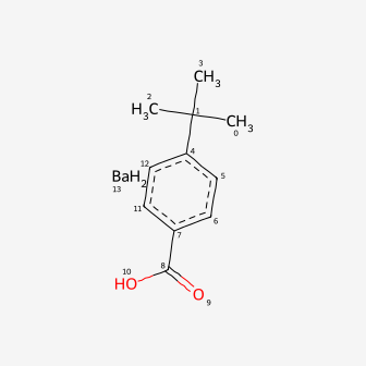 CC(C)(C)c1ccc(C(=O)O)cc1.[BaH2]